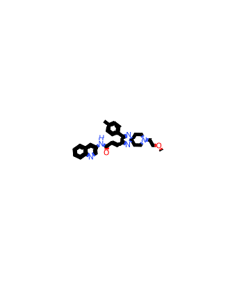 COCCN1CCC2(CC1)N=C(C=CC(=O)Nc1cnc3ccccc3c1)C(c1ccc(C)cc1)=N2